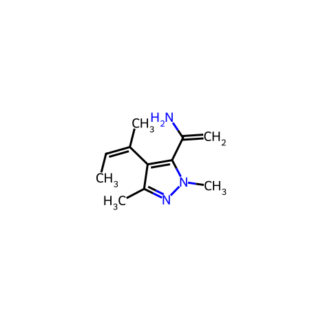 C=C(N)c1c(/C(C)=C\C)c(C)nn1C